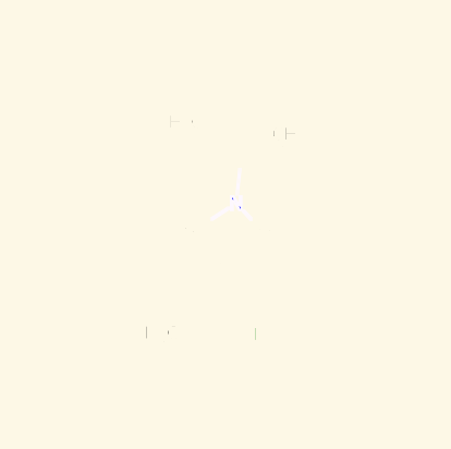 CC(F)C1CN(C(C)C)C1